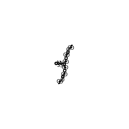 C=CC(=O)OCOc1ccc(OC(=O)[C@H]2CC[C@H](C(=O)Oc3ccc(OC(=O)[C@H]4CC[C@H](C(=O)Oc5ccc(OCOC(=O)C=C)cc5)CC4)c4sc(-c5nc6ccccc6s5)nc34)CC2)cc1